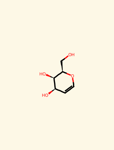 OC[C@H]1OC=C[C@@H](O)[C@H]1O